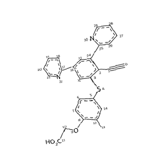 C#Cc1c(Sc2ccc(OCC(=O)O)c(C)c2)cc(-c2ccccn2)cc1-c1ccccn1